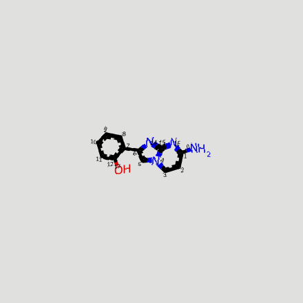 Nc1ccn2cc(-c3ccccc3O)nc2n1